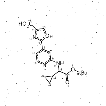 CC(C)(C)OC(=O)C(Nc1cc(-c2nc(C(=O)O)co2)ccn1)C1CC1